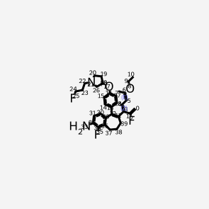 C=C(F)/C(=C\C=C(/C)OCC)C1=C(c2ccc(O[C@H]3CCN(CCCF)C3)cc2)c2ccc(N)c(F)c2CCC1